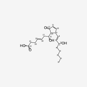 CCCCCC(O)/C=C/C1C=CC(=O)C1C(O)C/C=C/CCC(=O)O